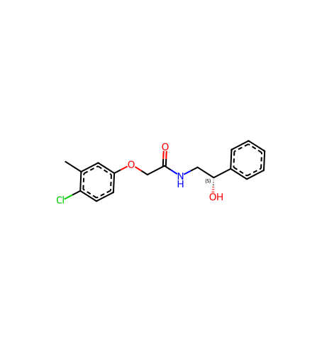 Cc1cc(OCC(=O)NC[C@@H](O)c2ccccc2)ccc1Cl